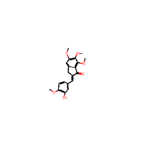 COc1ccc(/C=C2\Cc3cc(OC)c(OC)c(OC)c3C2=O)cc1O